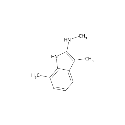 CNc1[nH]c2c(C)cccc2c1C